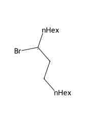 CCCCCCCC[C](Br)CCCCCC